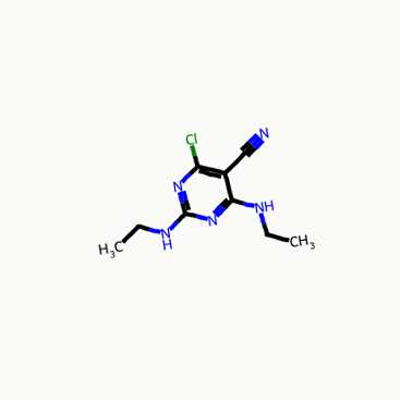 CCNc1nc(Cl)c(C#N)c(NCC)n1